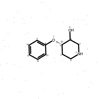 OC1CNCC[C@@H]1Oc1ccccc1